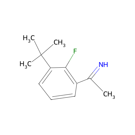 CC(=N)c1cccc(C(C)(C)C)c1F